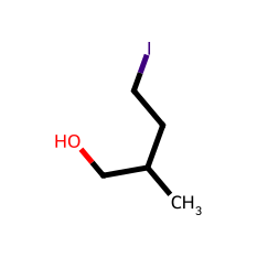 CC(CO)CCI